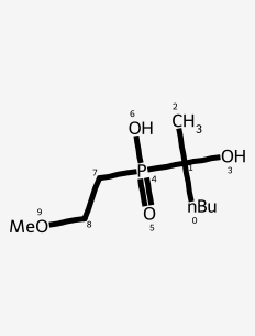 CCCCC(C)(O)P(=O)(O)CCOC